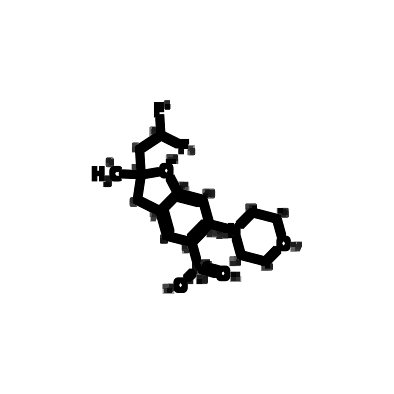 CC1(CC(F)F)Cc2cc([N+](=O)[O-])c(N3CCOCC3)cc2O1